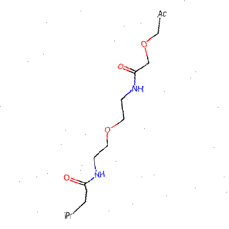 CC(=O)COCC(=O)NCCOCCNC(=O)CC(C)C